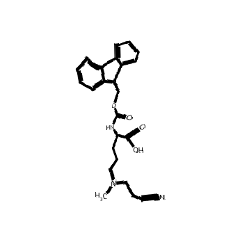 CN(CCC#N)CCCC(NC(=O)OCC1c2ccccc2-c2ccccc21)C(=O)O